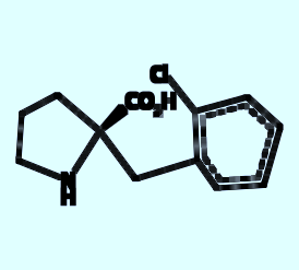 O=C(O)[C@]1(Cc2ccccc2Cl)CCCN1